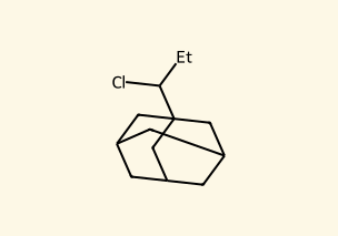 CCC(Cl)C12CC3CC(CC(C3)C1)C2